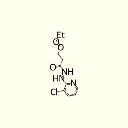 CCOOCCC(=O)NNc1ncccc1Cl